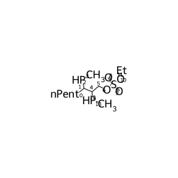 CCCCCC(PC)C(COS(=O)(=O)OCC)PC